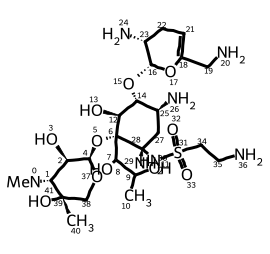 CN[C@@H]1[C@@H](O)[C@@H](O[C@]2(C(O)C(C)O)[C@@H](O)[C@H](O[C@H]3OC(CN)=CC[C@H]3N)[C@@H](N)C[C@]2(N)NS(=O)(=O)CCN)OC[C@]1(C)O